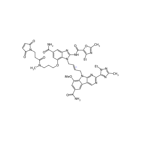 CCc1nc(C)oc1C(=O)Nc1nc2cc(C(N)=O)cc(OCCCN(C)C(=O)CCN3C(=O)C=CC3=O)c2n1C/C=C/Cn1c2nc(-c3nc(C)nn3CC)ncc2c2cc(C(N)=O)cc(OC)c21